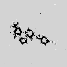 Cc1ccc(CNc2ncnc(N3CCC[C@@H]3c3ccc(C(F)(F)F)cc3F)c2F)cn1